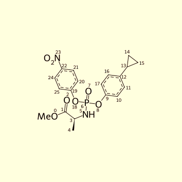 COC(=O)[C@H](C)NP(=O)(Oc1ccc(C2CC2)cc1)Oc1ccc([N+](=O)[O-])cc1